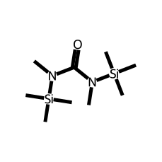 CN(C(=O)N(C)[Si](C)(C)C)[Si](C)(C)C